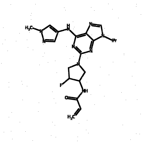 C=CC(=O)NC1CN(c2nc(Nc3cnn(C)c3)c3ncn(C(C)C)c3n2)CC1F